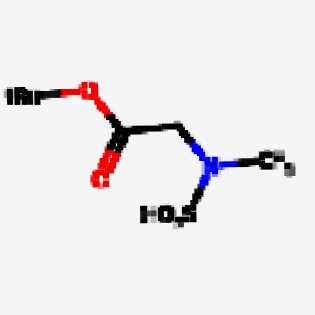 CC(C)(C)OC(=O)CN(C(F)(F)F)S(=O)(=O)O